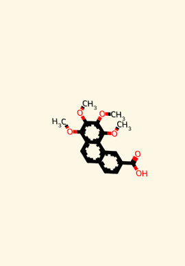 COc1c(OC)c(OC)c2c(ccc3ccc(C(=O)O)cc32)c1OC